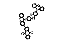 CN1c2ccc(N3c4ccccc4Sc4ccccc43)cc2Sc2cc(N3c4ccccc4Sc4ccc(-c5ccc6c(c5)C(=O)c5ccccc5C6=O)cc43)ccc21